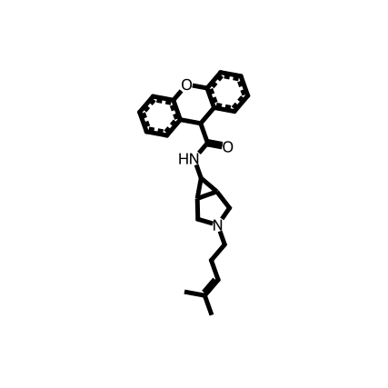 CC(C)=CCCN1CC2C(C1)C2NC(=O)C1c2ccccc2Oc2ccccc21